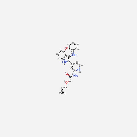 C=CCOCC(=O)Nc1cc(-c2[nH]c3c(c2Nc2ccccc2)C(=O)CCC3)ccn1